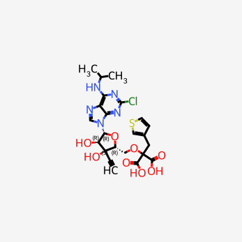 C#C[C@@]1(O)[C@@H](COC(Cc2ccsc2)(C(=O)O)C(=O)O)O[C@@H](n2cnc3c(NC(C)C)nc(Cl)nc32)[C@@H]1O